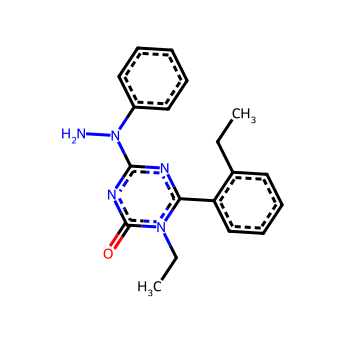 CCc1ccccc1-c1nc(N(N)c2ccccc2)nc(=O)n1CC